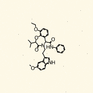 CCOc1cccc2c1OC(C(C)C)C(=O)N(CCc1c[nH]c3ccc(OC)cc13)C2C(=O)Nc1ccccc1